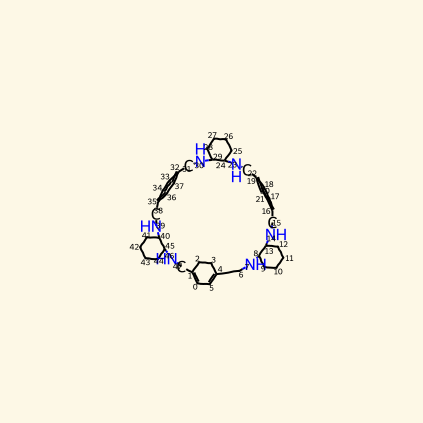 C1=C2CCC(=C1)CNC1CCCCC1NCc1ccc(cc1)CNC1CCCCC1NCc1ccc(cc1)CNC1CCCCC1NC2